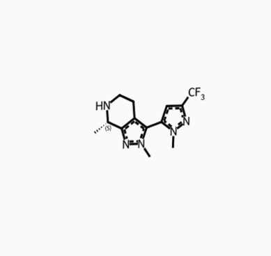 C[C@@H]1NCCc2c1nn(C)c2-c1cc(C(F)(F)F)nn1C